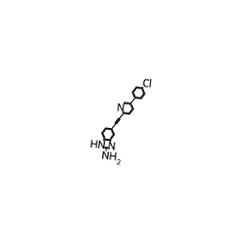 Nc1nc2cc(C#Cc3ccc(-c4ccc(Cl)cc4)cn3)ccc2[nH]1